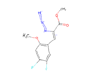 COC(=O)/C(=C/c1cc(F)c(F)cc1OC)N=[N+]=[N-]